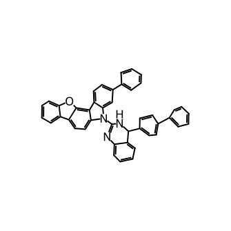 c1ccc(-c2ccc(C3NC(n4c5cc(-c6ccccc6)ccc5c5c6oc7ccccc7c6ccc54)=Nc4ccccc43)cc2)cc1